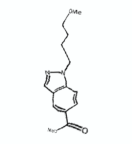 COCCCCn1ncc2cc(C(=O)OC)ccc21